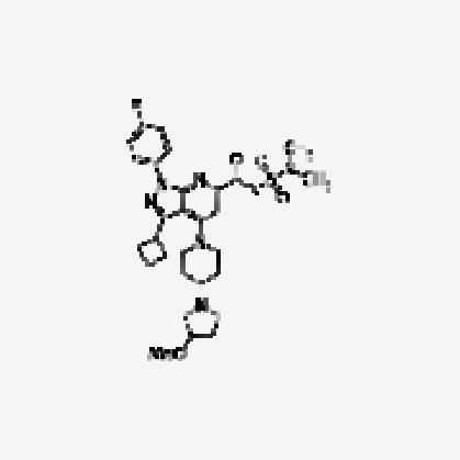 COC1CCN(C2CCN(c3cc(C(=O)NS(=O)(=O)N(C)C)nc4c3c(C3CCC3)nn4-c3ccc(F)cc3)CC2)C1